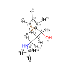 [2H]c1sc(C([2H])(O)C([2H])([2H])C([2H])([2H])NC([2H])([2H])[2H])c([2H])c1[2H]